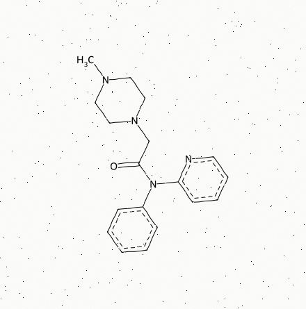 CN1CCN(CC(=O)N(c2ccccc2)c2ccccn2)CC1